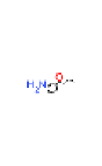 CCCC(=O)c1cccc(N)c1